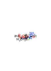 CCOc1nc(N)nc2c1ncn2[C@@H]1O[C@@H]2COP(=O)(NC(C)COC(=O)C(C)C)O[C@H]2[C@@]1(C)Cl